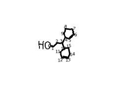 OCCC(C1C=CCCC1)C1CC=CCC1